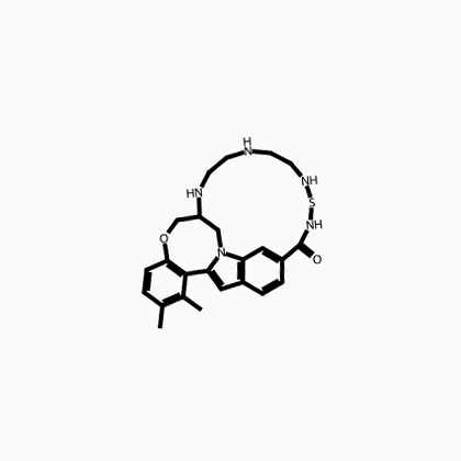 Cc1ccc2c(c1C)-c1cc3ccc4cc3n1CC(CO2)NCCNCCNSNC4=O